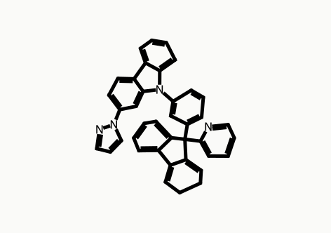 C1=C2C(=CCC1)C(c1cccc(-n3c4ccccc4c4ccc(-n5cccn5)cc43)c1)(c1ccccn1)c1ccccc12